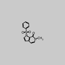 Cn1ccc2ccn(S(=O)(=O)c3ccccc3)c2c1=O